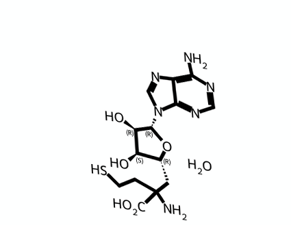 Nc1ncnc2c1ncn2[C@@H]1O[C@H](CC(N)(CCS)C(=O)O)[C@@H](O)[C@H]1O.O